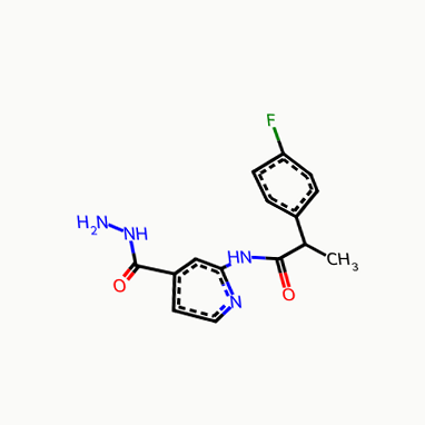 CC(C(=O)Nc1cc(C(=O)NN)ccn1)c1ccc(F)cc1